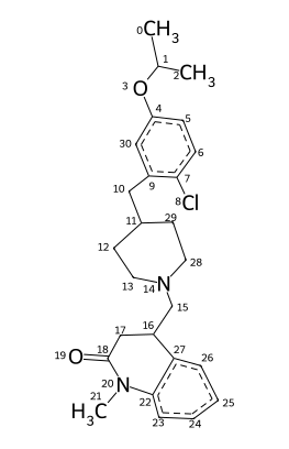 CC(C)Oc1ccc(Cl)c(CC2CCN(CC3CC(=O)N(C)c4ccccc43)CC2)c1